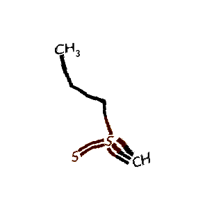 C#S(=S)CCC